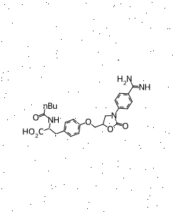 CCCCC(=O)NC(Cc1ccc(OCC2CN(c3ccc(C(=N)N)cc3)C(=O)O2)cc1)C(=O)O